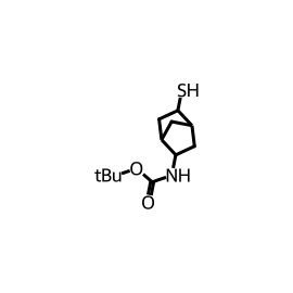 CC(C)(C)OC(=O)NC1CC2CC1CC2S